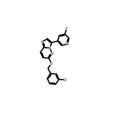 Fc1cncc(-c2cnc3ccc(OCc4cccc(Cl)c4)nn23)c1